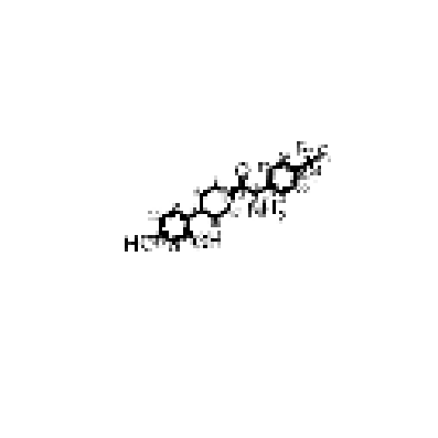 N[C@@H](C(=O)N1CCC(c2ccc(O)cc2O)CC1)c1ccc(C(F)(F)F)cc1